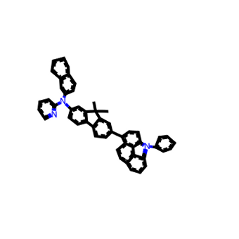 CC1(C)c2cc(-c3ccc4c5c3ccc3cccc(c35)n4-c3ccccc3)ccc2-c2ccc(N(c3ccc4ccccc4c3)c3ccccn3)cc21